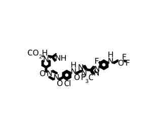 Cn1c(-c2cn(-c3ccc(NCCOC(F)F)cc3F)nc2C(F)(F)F)cnc1C(=O)Nc1ccc(C(=O)N2CCN(C(=O)C3CC[N+](CC(=O)O)(CC4CNC4)CC3)CC2)c(Cl)c1